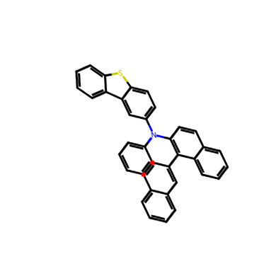 c1ccc(N(c2ccc3sc4ccccc4c3c2)c2ccc3ccccc3c2-c2ccc3ccccc3c2)cc1